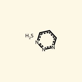 S.c1cnnnc1